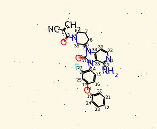 C=C(C#N)C(=O)N1CCC[C@@H](n2c(=O)n(-c3ccc(Oc4ccccc4)cc3F)c3c(N)nccc32)C1